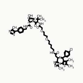 Cc1ncsc1-c1ccc(CNC(=O)[C@@H]2C[C@@H](O)CN2C(=O)[C@@H](NC(=O)COCCCOCCCCCNC(=O)CC2N=C(c3ccc(Cl)cc3)c3c(sc(C)c3C)-n3c(C)nnc32)C(C)(C)C)cc1